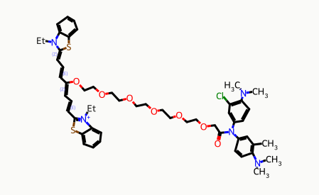 CCN1/C(=C/C=C/C(=C/C=C/c2sc3ccccc3[n+]2CC)OCCOCCOCCOCCOCCOCC(=O)N(c2ccc(N(C)C)c(C)c2)c2ccc(N(C)C)c(Cl)c2)Sc2ccccc21